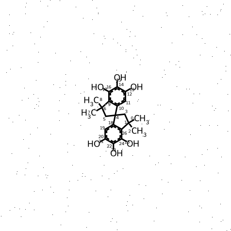 CC1(C)CC2(CC(C)(C)c3c2cc(O)c(O)c3O)c2cc(O)c(O)c(O)c21